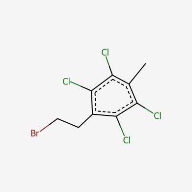 Cc1c(Cl)c(Cl)c(CCBr)c(Cl)c1Cl